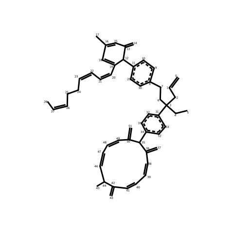 C=CCC(CC)(CCc1ccc(C2C(=C)C=C(C)C=C2/C=C\C=C/CC/C=C\C)cc1)c1ccc(C2C(=C)/C=C\C=C/C(=C)C(C)/C=C\C=C/C2=C)cc1